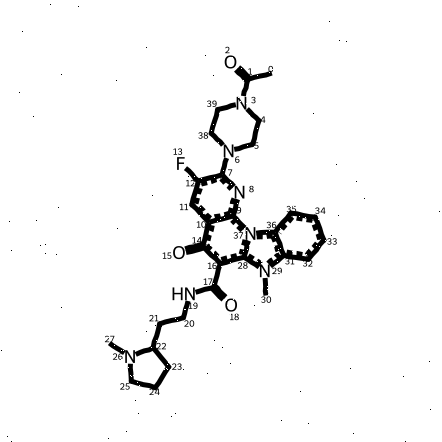 CC(=O)N1CCN(c2nc3c(cc2F)c(=O)c(C(=O)NCCC2CCCN2C)c2n(C)c4ccccc4n32)CC1